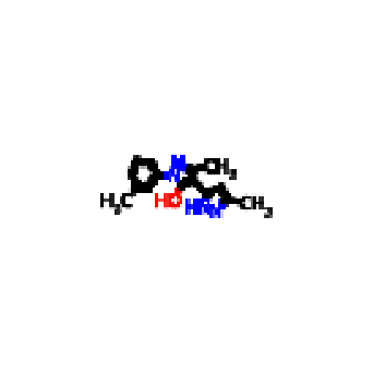 Cc1cccc(-n2nc(C)c(-c3cc(C)n[nH]3)c2O)c1